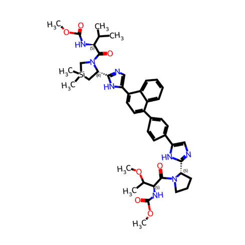 COC(=O)N[C@H](C(=O)N1C[Si](C)(C)C[C@H]1c1ncc(-c2ccc(-c3ccc(-c4cnc([C@@H]5CCCN5C(=O)[C@@H](NC(=O)OC)C(C)OC)[nH]4)cc3)c3ccccc23)[nH]1)C(C)C